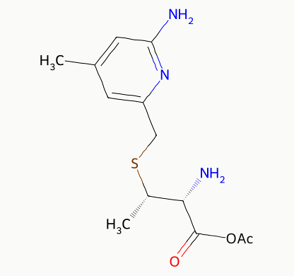 CC(=O)OC(=O)[C@@H](N)[C@H](C)SCc1cc(C)cc(N)n1